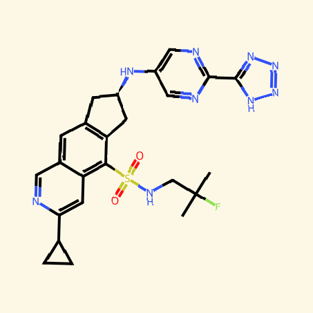 CC(C)(F)CNS(=O)(=O)c1c2c(cc3cnc(C4CC4)cc13)C[C@@H](Nc1cnc(-c3nnn[nH]3)nc1)C2